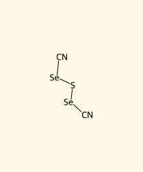 N#C[Se]S[Se]C#N